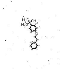 CC(C)(C)c1ccc(OCCc2ccccc2)cc1